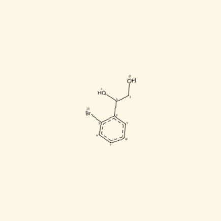 OCC(O)c1ccccc1Br